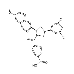 COc1ccc2cc([C@H]3C[C@@H](c4cc(Cl)cc(Cl)c4)CN3C(=O)c3ccc(C(=O)O)cc3)ccc2c1